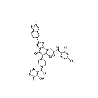 CCc1c(N2CCN(C(=O)c3ncnc(C)c3O)CC2)c(=O)n2nc(-c3ccc4nn(C)cc4c3)nc2n1CC(=O)Nc1ccc(C(F)(F)F)cc1Cl